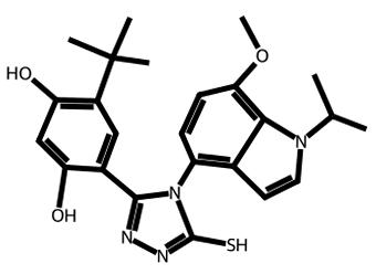 COc1ccc(-n2c(S)nnc2-c2cc(C(C)(C)C)c(O)cc2O)c2ccn(C(C)C)c12